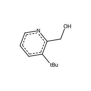 CC(C)(C)c1cccnc1CO